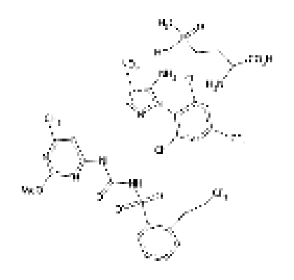 COc1nc(C)nc(NC(=O)NS(=O)(=O)c2ccccc2CCC(F)(F)F)n1.CP(=O)(O)CCC(N)C(=O)O.Nc1c([N+](=O)[O-])cnn1-c1c(Cl)cc(C(F)(F)F)cc1Cl